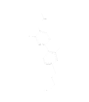 CCCC(C)CCCc1ccc(-c2ccc(OC(F)F)c(F)c2)c(F)c1